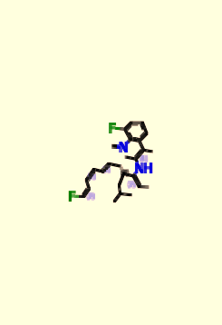 C=Nc1c(F)cccc1/C(C)=C(\C)N/C(=C\C)[C@@H](C/C=C/C=C\C=C/F)CC(C)C